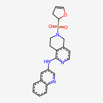 O=S(=O)(C1CC=CO1)N1CCc2c(ccnc2Nc2cnc3ccccc3c2)C1